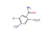 CCOC(=O)c1cc(N)c(Br)cc1C(N)=O